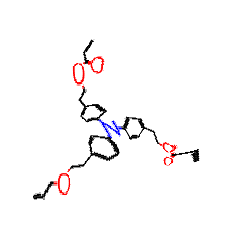 C=CCOCCc1ccc(N(c2ccc(CCOC(=O)C=C)cc2)c2ccc(CCOC(=O)C=C)cc2)cc1